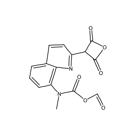 CN(C(=O)OC=O)c1cccc2ccc(C3C(=O)OC3=O)nc12